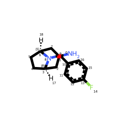 NC1C[C@H]2CC[C@@H](C1)N2Cc1ccc(F)cc1